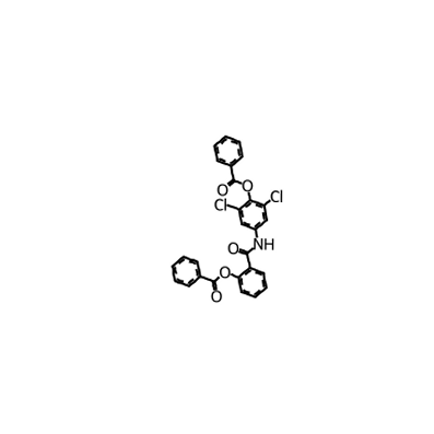 O=C(Oc1ccccc1C(=O)Nc1cc(Cl)c(OC(=O)c2ccccc2)c(Cl)c1)c1ccccc1